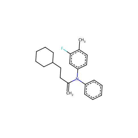 C=C(CCC1CCCCC1)N(c1ccccc1)c1ccc(C)c(F)c1